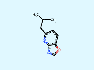 CC(C)Cc1ccc2ocnc2n1